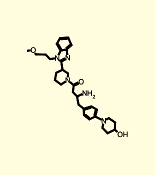 COCCCn1c(C2CCCN(C(=O)CC(N)Cc3ccc(N4CCC(O)CC4)cc3)C2)nc2ccccc21